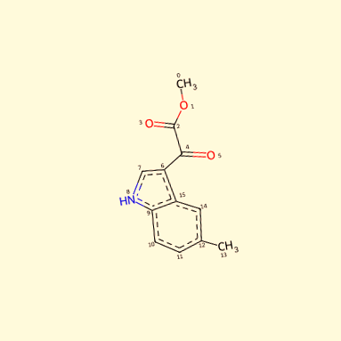 COC(=O)C(=O)c1c[nH]c2ccc(C)cc12